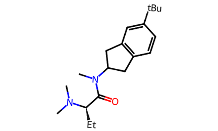 CC[C@H](C(=O)N(C)C1Cc2ccc(C(C)(C)C)cc2C1)N(C)C